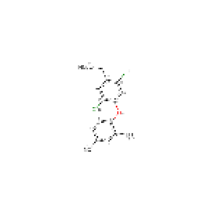 Bc1cc(C#N)ccc1Oc1cc(F)c(CC(=O)O)cc1Cl